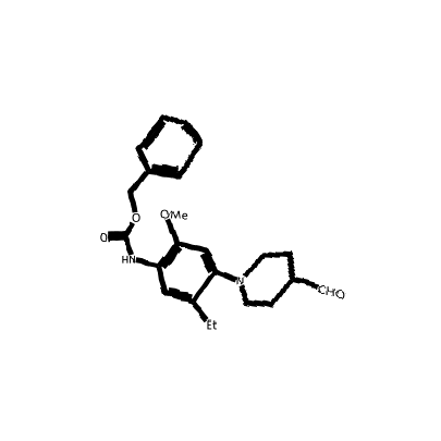 CCc1cc(NC(=O)OCc2ccccc2)c(OC)cc1N1CCC(C=O)CC1